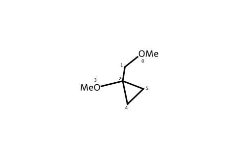 COCC1(OC)CC1